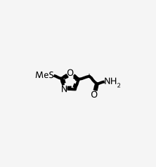 CSc1ncc([CH]C(N)=O)o1